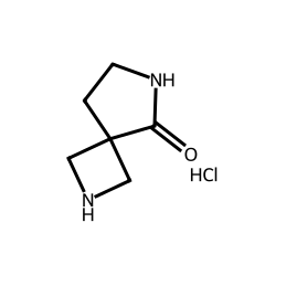 Cl.O=C1NCCC12CNC2